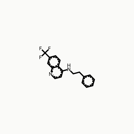 FC(F)(F)c1ccc2c(NCCc3ccccc3)ccnc2c1